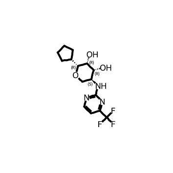 O[C@@H]1[C@H](O)[C@@H](Nc2nccc(C(F)(F)F)n2)CO[C@@H]1C1CCCC1